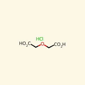 Cl.O=C(O)COCC(=O)O